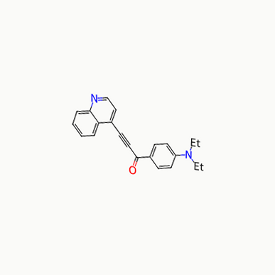 CCN(CC)c1ccc(C(=O)C#Cc2ccnc3ccccc23)cc1